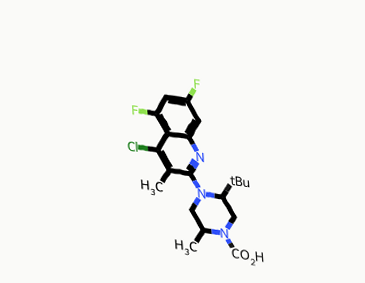 Cc1c(N2CC(C)N(C(=O)O)CC2C(C)(C)C)nc2cc(F)cc(F)c2c1Cl